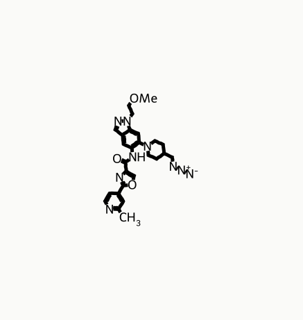 COCCn1ncc2cc(NC(=O)c3coc(-c4ccnc(C)c4)n3)c(N3CCC(CN=[N+]=[N-])CC3)cc21